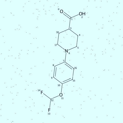 O=C(O)C1CCN(c2ccc(OC(F)F)cc2)CC1